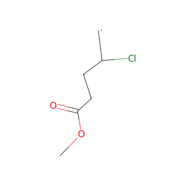 [CH2]C(Cl)CCC(=O)OC